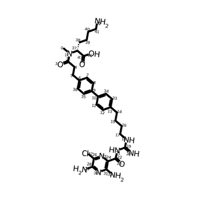 CN(C(=O)CCc1ccc(-c2ccc(CCCCNC(=N)NC(=O)c3nc(Cl)c(N)nc3N)cc2)cc1)[C@H](CCCCN)C(=O)O